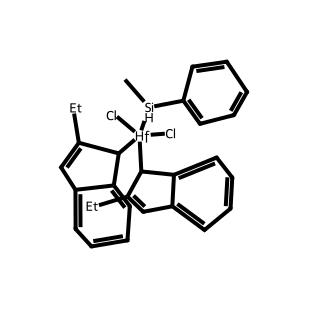 CCC1=Cc2ccccc2[CH]1[Hf]([Cl])([Cl])([CH]1C(CC)=Cc2ccccc21)[SiH](C)c1ccccc1